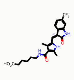 Cc1[nH]c(/C=C2\C(=O)Nc3cc(C(F)(F)F)ccc32)c(C)c1C(=O)NCCCCCC(=O)O